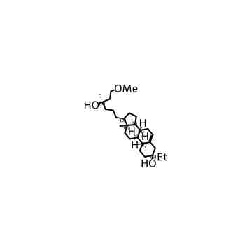 CC[C@]1(O)CC[C@H]2C(=CC[C@@H]3[C@@H]2CC[C@]2(C)[C@@H](CCC[C@@](C)(O)CCOC)CC[C@@H]32)C1